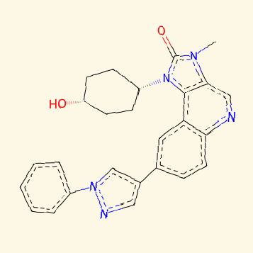 Cn1c(=O)n([C@H]2CC[C@@H](O)CC2)c2c3cc(-c4cnn(-c5ccccc5)c4)ccc3ncc21